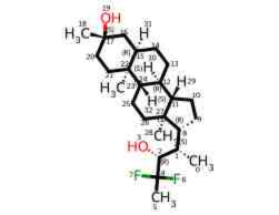 C[C@H]([C@@H](O)C(C)(F)F)[C@H]1CC[C@H]2[C@@H]3CC[C@@H]4C[C@@](C)(O)CC[C@]4(C)[C@H]3CC[C@]12C